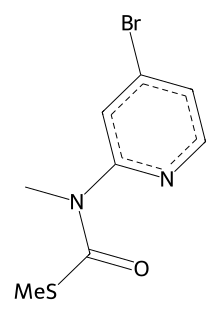 CSC(=O)N(C)c1cc(Br)ccn1